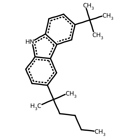 CCCCC(C)(C)c1ccc2[nH]c3ccc(C(C)(C)C)cc3c2c1